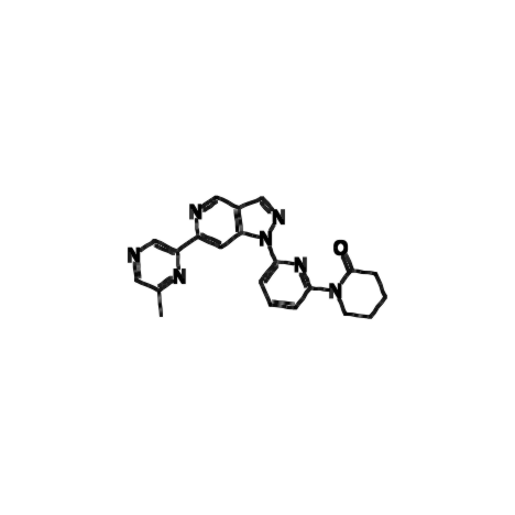 Cc1cncc(-c2cc3c(cn2)cnn3-c2cccc(N3CCCCC3=O)n2)n1